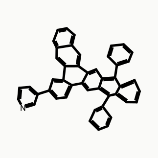 c1ccc(-c2c3ccccc3c(-c3ccccc3)c3cc4c5cc6ccccc6cc5c5cc(-c6cccnc6)ccc5c4cc23)cc1